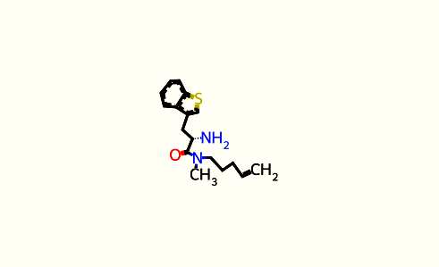 C=CCCCN(C)C(=O)[C@@H](N)Cc1csc2ccccc12